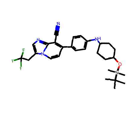 CC(C)(C)[Si](C)(C)OC1CCC(Nc2ccc(-c3ccn4c(CC(F)(F)F)cnc4c3C#N)cc2)CC1